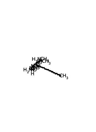 CCCCCCCCC=CCCCCCCCCCCCC(=O)OCC(CCOC(=O)[C@@H](N)[C@@H](C)CC)Cc1nc2nc(N)[nH]c(=O)c2[nH]1